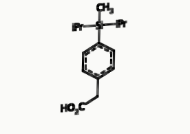 CC(C)[Si](C)(c1ccc(CC(=O)O)cc1)C(C)C